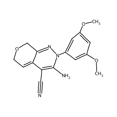 COc1cc(OC)cc(N2N=C3COCC=C3C(C#N)=C2N)c1